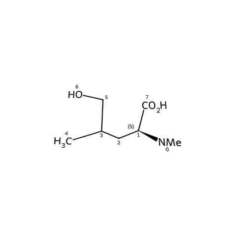 CN[C@@H](CC(C)CO)C(=O)O